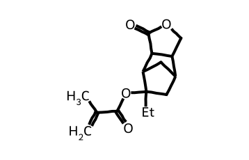 C=C(C)C(=O)OC1(CC)CC2CC1C1C(=O)OCC21